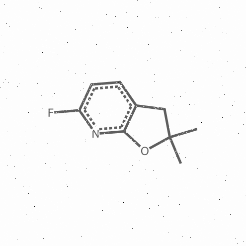 CC1(C)Cc2ccc(F)nc2O1